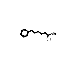 CCCCC(S)CCCCCc1ccccc1